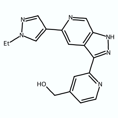 CCn1cc(-c2cc3c(-c4cc(CO)ccn4)n[nH]c3cn2)cn1